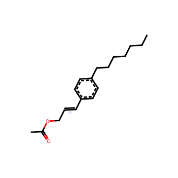 CCCCCCCc1ccc(/C=C/COC(C)=O)cc1